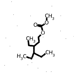 CCC(CC)C(CC)CCOC(=O)OC